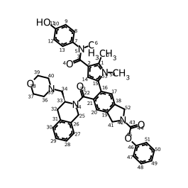 Cc1c(C(=O)N(C)c2ccc(O)cc2)cc(-c2cc3c(cc2C(=O)N2Cc4ccccc4C[C@H]2CN2CCOCC2)CN(C(=O)Oc2ccccc2)C3)n1C